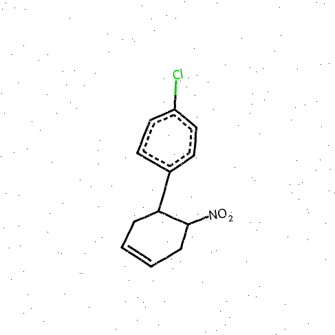 O=[N+]([O-])C1CC=CCC1c1ccc(Cl)cc1